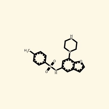 Cc1ccc(S(=O)(=O)Nc2cc(N3CCNCC3)c3occc3c2)cc1